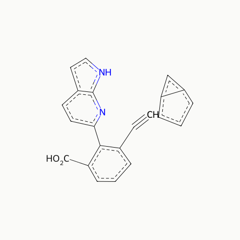 C#Cc1cccc(C(=O)O)c1-c1ccc2cc[nH]c2n1.c1cc2cc-2c1